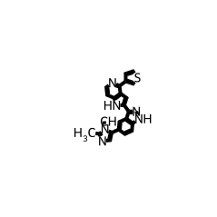 Cc1ncc(-c2ccc3[nH]nc(-c4cc5c(-c6ccsc6)nccc5[nH]4)c3c2)n1C